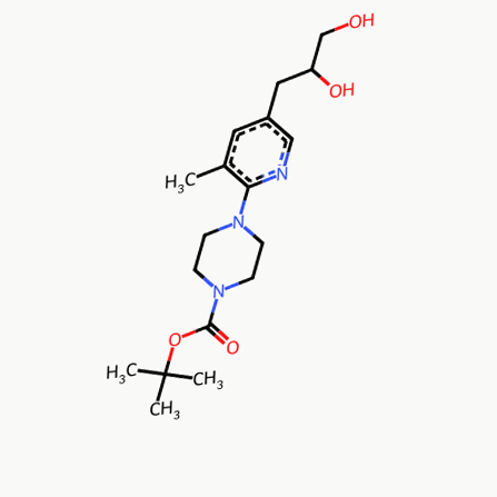 Cc1cc(CC(O)CO)cnc1N1CCN(C(=O)OC(C)(C)C)CC1